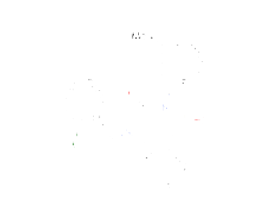 CSc1cccc(N2C(=O)N(Cc3ccc(F)cc3Cl)c3ccccc3[S+]2[O-])c1